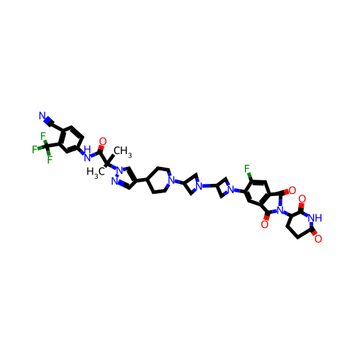 CC(C)(C(=O)Nc1ccc(C#N)c(C(F)(F)F)c1)n1cc(C2CCN(C3CN(C4CN(c5cc6c(cc5F)C(=O)N(C5CCC(=O)NC5=O)C6=O)C4)C3)CC2)cn1